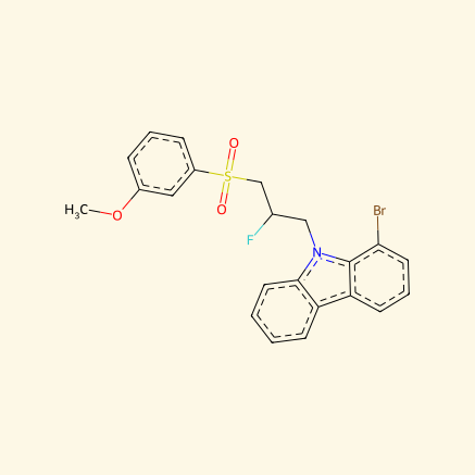 COc1cccc(S(=O)(=O)CC(F)Cn2c3ccccc3c3cccc(Br)c32)c1